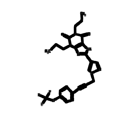 CCCn1c(=O)c2[nH]c(-c3cnn(CC#Cc4ccc(OC(F)(F)F)cc4)c3)nc2n(CCC)c1=O